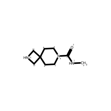 CNC(=O)N1CCC2(CC1)CNC2